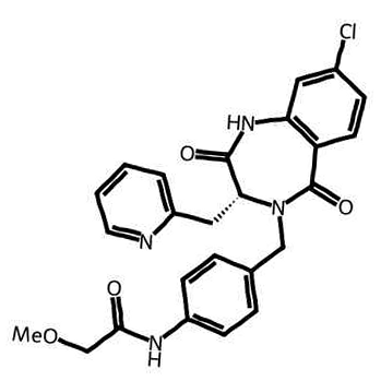 COCC(=O)Nc1ccc(CN2C(=O)c3ccc(Cl)cc3NC(=O)[C@H]2Cc2ccccn2)cc1